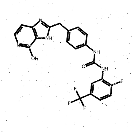 O=C(Nc1ccc(Cc2nc3ccnc(O)c3[nH]2)cc1)Nc1cc(C(F)(F)F)ccc1F